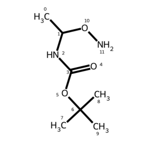 CC(NC(=O)OC(C)(C)C)ON